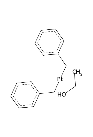 CCO.c1ccc([CH2][Pt][CH2]c2ccccc2)cc1